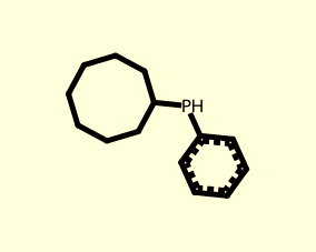 c1ccc(PC2CCCCCCC2)cc1